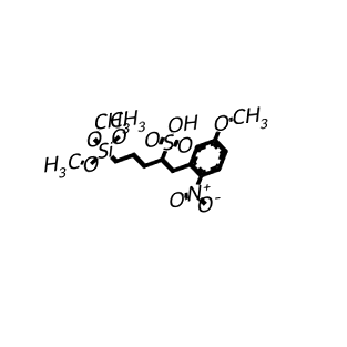 COc1ccc([N+](=O)[O-])c(CC(CCC[Si](OC)(OC)OC)S(=O)(=O)O)c1